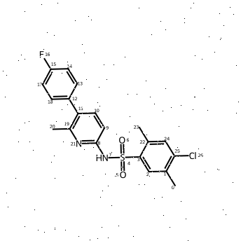 Cc1cc(S(=O)(=O)Nc2ccc(-c3ccc(F)cc3)c(C)n2)c(C)cc1Cl